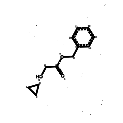 C1CC1.O=C(CO)OCc1ccccc1